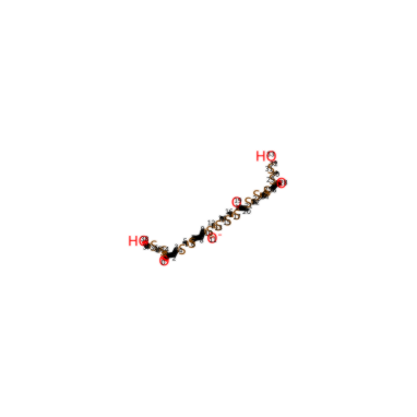 O=C(CCSCSCCC[S+]([O-])CSCSCSC(=O)CSCSCSCC(=O)SCSCO)SCSCO